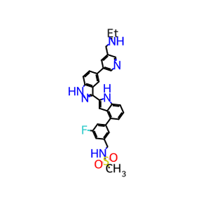 CCNCc1cncc(-c2ccc3[nH]nc(-c4cc5c(-c6cc(F)cc(CNS(C)(=O)=O)c6)cccc5[nH]4)c3c2)c1